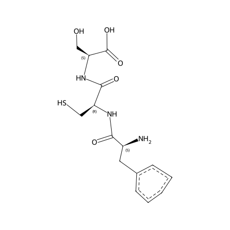 N[C@@H](Cc1ccccc1)C(=O)N[C@@H](CS)C(=O)N[C@@H](CO)C(=O)O